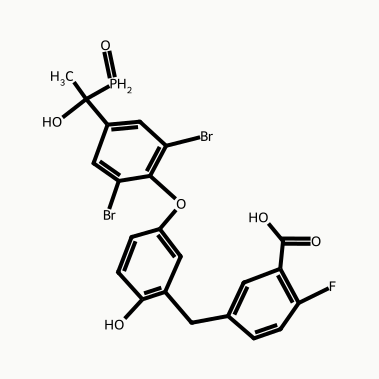 CC(O)([PH2]=O)c1cc(Br)c(Oc2ccc(O)c(Cc3ccc(F)c(C(=O)O)c3)c2)c(Br)c1